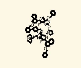 CN1CCC[C@H]1COc1nc(OCc2ccccc2)c2cnc(-c3cc(OCc4ccccc4-c4ccc(COc5nc(OCC67CCCN6CCC7)nc6c(F)c(-c7cc(OCc8ccccc8)cc8ccccc78)ncc56)cc4)cc4ccccc34)c(F)c2n1